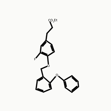 CCOC(=O)CCc1ccc(OCc2ccccc2Oc2ccccc2)c(F)c1